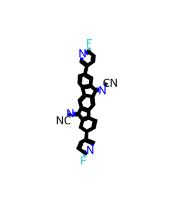 N#C/N=c1\c2c(c3cc4/c(=N/C#N)c5cc(-c6ccc(F)nc6)ccc5c4cc13)C=CC(c1ccc(F)nc1)C2